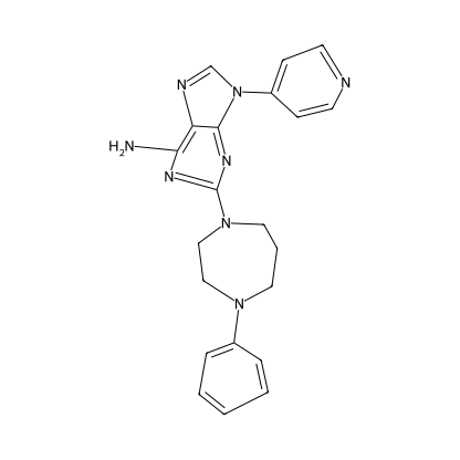 Nc1nc(N2CCCN(c3ccccc3)CC2)nc2c1ncn2-c1ccncc1